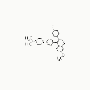 COc1ccc2c(c1)SCC(c1ccc(F)cc1)=C2c1ccc(N2CCN(C(C)C)CC2)cc1